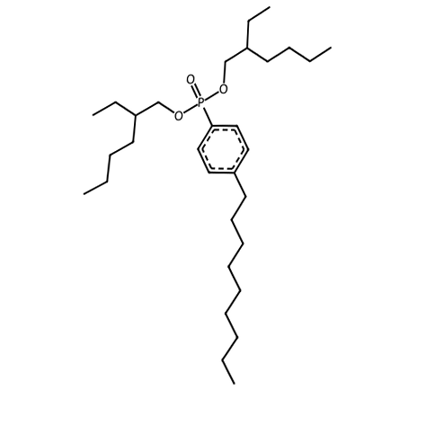 CCCCCCCCCc1ccc(P(=O)(OCC(CC)CCCC)OCC(CC)CCCC)cc1